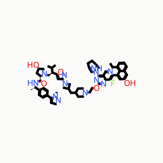 CCc1cccc2cc(O)cc(-c3ncc4c(N5CC6CCC(C5)N6)nc(OCCN5CCC(CC6CN(c7cc([C@@H](CN8C[C@H](O)C[C@H]8C(=O)N[C@@H](C)c8ccc(-c9ccnn9C)cc8)C(C)C)on7)C6)CC5)nc4c3F)c12